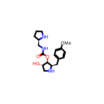 COc1ccc(C[C@H]2NC[C@H](O)[C@H]2OC(=O)NC[C@H]2CCCN2)cc1